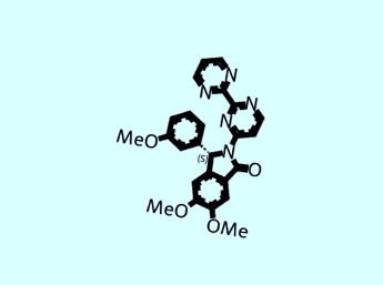 COc1cccc([C@H]2c3cc(OC)c(OC)cc3C(=O)N2c2ccnc(-c3ncccn3)n2)c1